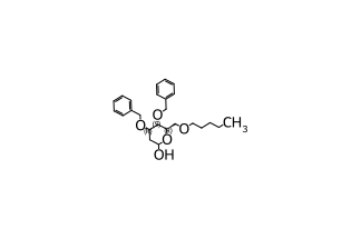 CCCCCOC[C@H]1OC(O)C[C@@H](OCc2ccccc2)[C@@H]1OCc1ccccc1